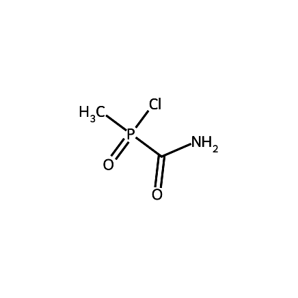 CP(=O)(Cl)C(N)=O